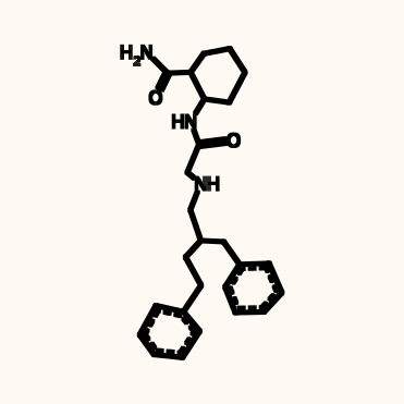 NC(=O)C1CCCCC1NC(=O)CNCC(CCc1ccccc1)Cc1ccccc1